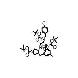 Cc1cc(C[C@H]2CN(C(=O)OC(C)(C)C)C[C@@H]2NCCN(Cc2ccc(Cl)cc2)C(=O)OC(C)(C)C)nc(NC(=O)OC(C)(C)C)c1